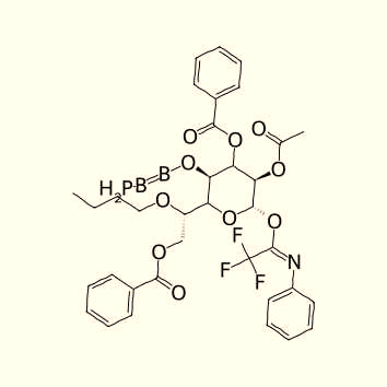 CCCCO[C@@H](COC(=O)c1ccccc1)C1O[C@@H](O/C(=N/c2ccccc2)C(F)(F)F)[C@H](OC(C)=O)C(OC(=O)c2ccccc2)[C@@H]1OB=BP